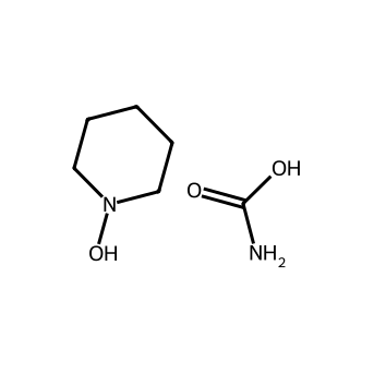 NC(=O)O.ON1CCCCC1